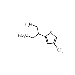 NCC(CC(=O)O)c1cc(C(F)(F)F)cs1